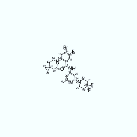 Cc1cc(NC(=O)c2cc(F)c(Br)cc2N2CCC3(CC2)CC3)cc(N2CCC(F)(F)CC2)n1